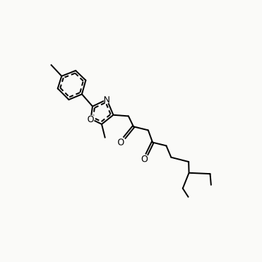 CCC(CC)CCCC(=O)CC(=O)Cc1nc(-c2ccc(C)cc2)oc1C